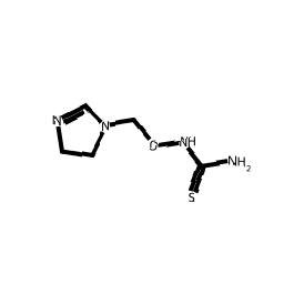 NC(=S)NOCN1C=NCC1